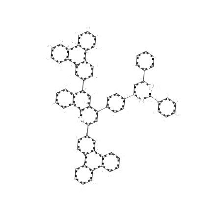 c1ccc(-c2cc(-c3ccc(-c4cc(-c5ccc6c7ccccc7c7ccccc7c6c5)nc5c4cc(-c4ccc6c7ccccc7c7ccccc7c6c4)c4ccccc45)cc3)nc(-c3ccccc3)n2)cc1